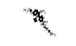 CCOc1ccc2c(N)c(-c3ccc(NC(=O)OCCOCCOC)cc3)n(C3CCC3)c2c1